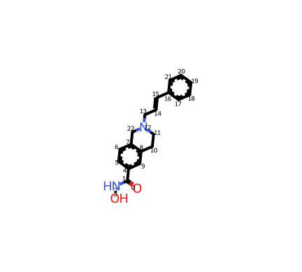 O=C(NO)c1ccc2c(c1)CCN(CC=Cc1ccccc1)C2